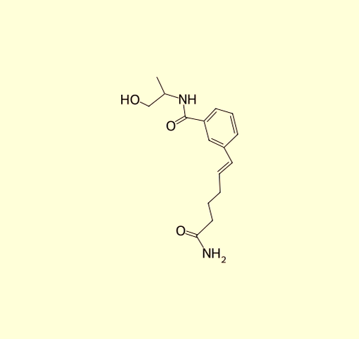 CC(CO)NC(=O)c1cccc(/C=C/CCCC(N)=O)c1